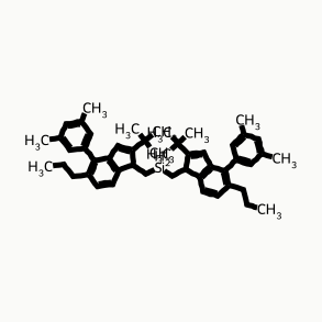 CCCc1ccc2c(c1-c1cc(C)cc(C)c1)C=C(C(C)(C)C)C2C[SiH2]CC1C(C(C)(C)C)=Cc2c1ccc(CCC)c2-c1cc(C)cc(C)c1